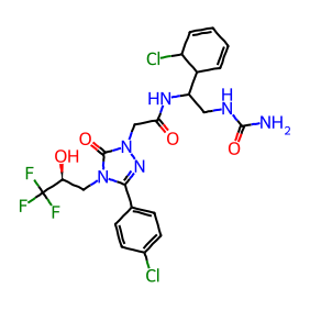 NC(=O)NCC(NC(=O)Cn1nc(-c2ccc(Cl)cc2)n(C[C@H](O)C(F)(F)F)c1=O)C1C=CC=CC1Cl